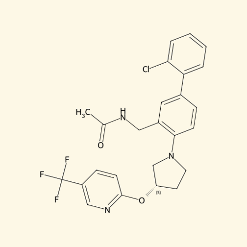 CC(=O)NCc1cc(-c2ccccc2Cl)ccc1N1CC[C@H](Oc2ccc(C(F)(F)F)cn2)C1